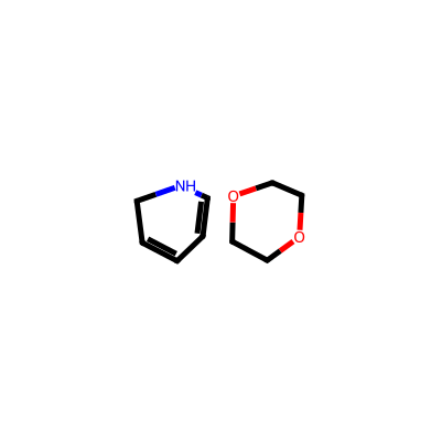 C1=CCNC=C1.C1COCCO1